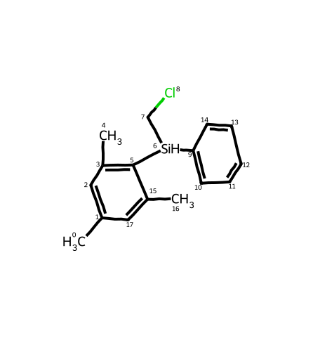 Cc1cc(C)c([SiH](CCl)c2ccccc2)c(C)c1